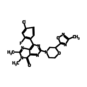 Cc1noc(C2CN(c3nc(-c4ccc(Cl)cc4F)c4nc(C)n(C)c(=O)c4n3)CCO2)n1